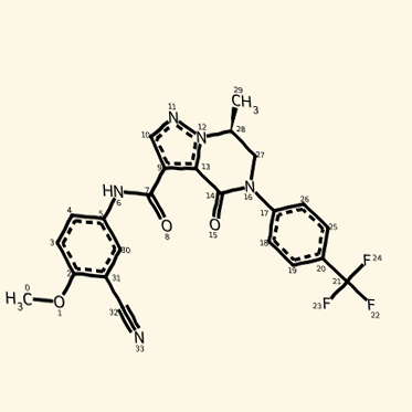 COc1ccc(NC(=O)c2cnn3c2C(=O)N(c2ccc(C(F)(F)F)cc2)C[C@@H]3C)cc1C#N